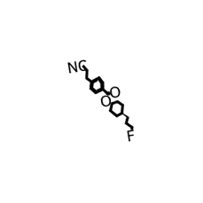 N#CCCc1ccc(C(=O)O[C@H]2CC[C@H](CCCF)CC2)cc1